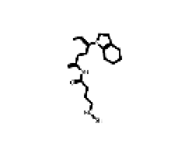 C=C(CC/C(=C\C)N1CCC2=C1CCCC2)NC(=O)CCCNS